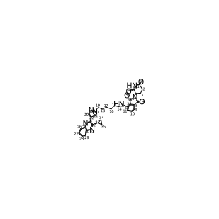 O=C1CCC(N2C(=O)c3cccc(NCCCCCCn4cc(-c5nc6ccccc6nc5C5CC5)cn4)c3C2=O)C(=O)N1